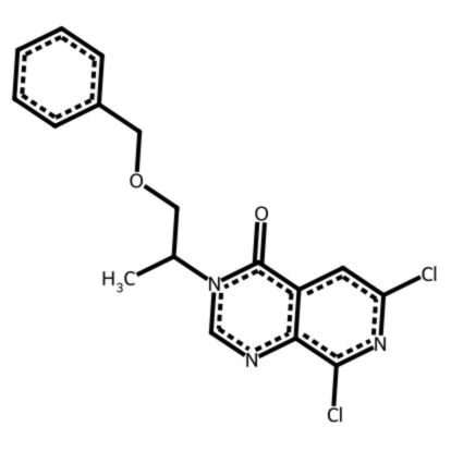 CC(COCc1ccccc1)n1cnc2c(Cl)nc(Cl)cc2c1=O